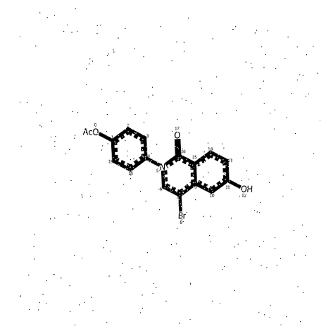 CC(=O)Oc1ccc(-n2cc(Br)c3cc(O)ccc3c2=O)cc1